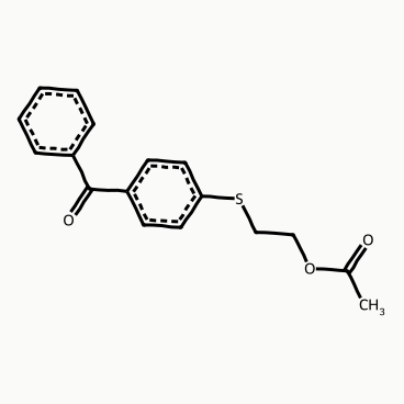 CC(=O)OCCSc1ccc(C(=O)c2ccccc2)cc1